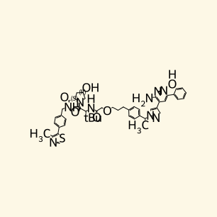 Cc1ncsc1-c1ccc(CNC(=O)[C@@H]2C[C@@H](O)CN2C(=O)C(NC(=O)COCCCc2ccc(C(C)n3cc(-c4cc(-c5ccccc5O)nnc4N)cn3)cc2)C(C)(C)C)cc1